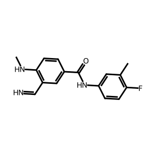 CNc1ccc(C(=O)Nc2ccc(F)c(C)c2)cc1C=N